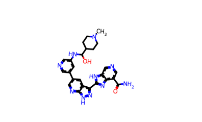 CN1CCC(C(O)Nc2cncc(-c3cnc4[nH]nc(-c5nc6c(C(N)=O)cncc6[nH]5)c4c3)c2)CC1